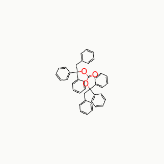 O=C(OC(Cc1ccccc1)(c1ccccc1)c1ccccc1)OC(Cc1ccccc1)(c1ccccc1)c1ccccc1